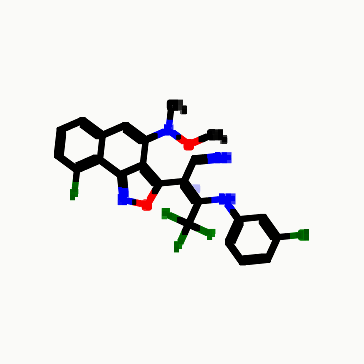 CON(C)c1cc2cccc(F)c2c2noc(/C(C=N)=C(/Nc3cccc(Cl)c3)C(F)(F)F)c12